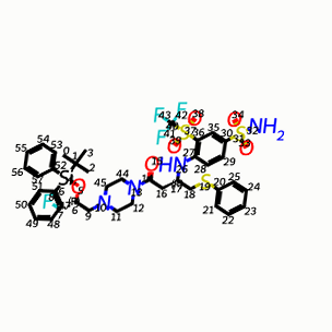 CC(C)(C)[Si](O[C@@H](CF)CN1CCN(C(=O)C[C@H](CSc2ccccc2)Nc2ccc(S(N)(=O)=O)cc2S(=O)(=O)C(F)(F)F)CC1)(c1ccccc1)c1ccccc1